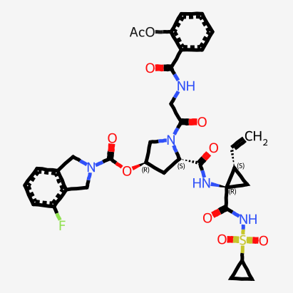 C=C[C@@H]1C[C@]1(NC(=O)[C@@H]1C[C@@H](OC(=O)N2Cc3cccc(F)c3C2)CN1C(=O)CNC(=O)c1ccccc1OC(C)=O)C(=O)NS(=O)(=O)C1CC1